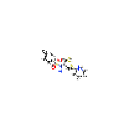 Cc1ccc(S(=O)(=O)NC(C=S)CSc2ccccn2)cc1